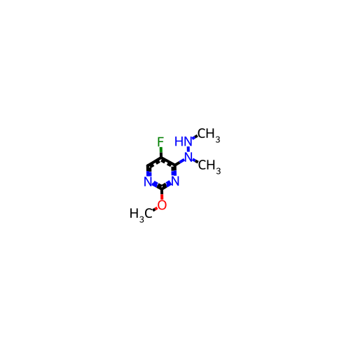 CNN(C)c1nc(OC)ncc1F